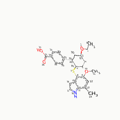 CCO[C@H]1CC[C@@H](Sc2c(OC)cc(C)c3[nH]ccc23)[C@H](c2ccc(C(=O)O)cc2)C1